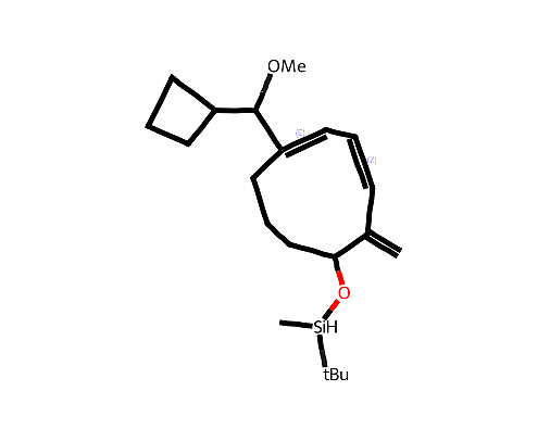 C=C1/C=C\C=C(\C(OC)C2CCC2)CCCC1O[SiH](C)C(C)(C)C